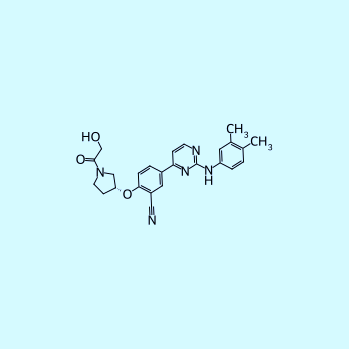 Cc1ccc(Nc2nccc(-c3ccc(O[C@@H]4CCN(C(=O)CO)C4)c(C#N)c3)n2)cc1C